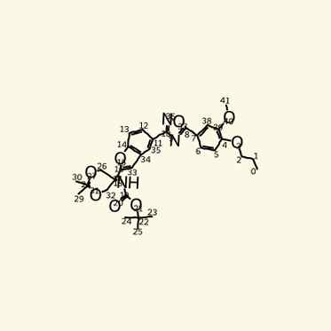 CCCOc1ccc(-c2nc(-c3ccc4oc(C5(NC(=O)OC(C)(C)C)COC(C)(C)OC5)cc4c3)no2)cc1OC